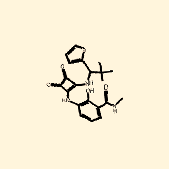 CNC(=O)c1cccc(Nc2c(NC(c3cccs3)C(C)(C)C)c(=O)c2=O)c1O